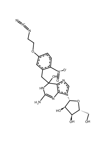 [N-]=[N+]=NCCOc1ccc([N+](=O)[O-])c(CC2(O)NC(N)=Nc3c2ncn3[C@@H]2O[C@H](CO)[C@@H](O)[C@H]2O)c1